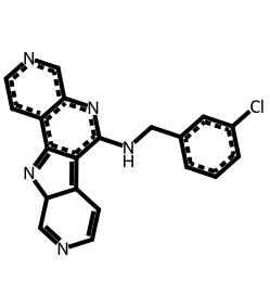 Clc1cccc(CNc2nc3cnccc3c3c2=C2C=CN=CC2N=3)c1